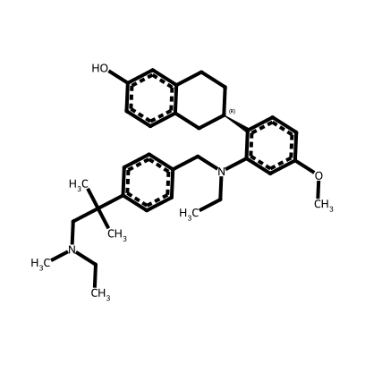 CCN(C)CC(C)(C)c1ccc(CN(CC)c2cc(OC)ccc2[C@@H]2CCc3cc(O)ccc3C2)cc1